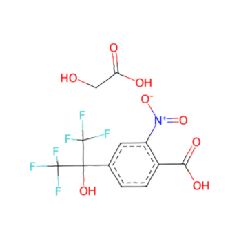 O=C(O)CO.O=C(O)c1ccc(C(O)(C(F)(F)F)C(F)(F)F)cc1[N+](=O)[O-]